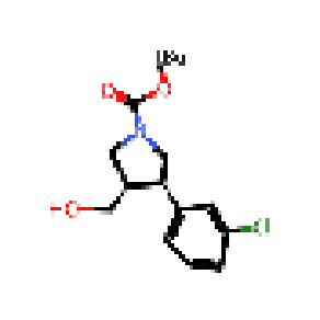 CC(C)(C)OC(=O)N1C[C@H](CO)[C@H](c2cccc(Cl)c2)C1